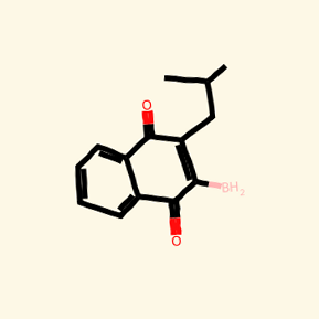 BC1=C(CC(C)C)C(=O)c2ccccc2C1=O